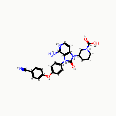 N#Cc1ccc(Oc2ccc(-n3c(=O)n([C@@H]4CCCN(C(=O)O)C4)c4ccnc(N)c43)cc2)cc1